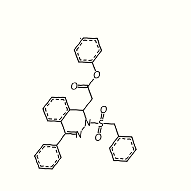 O=C(CC1c2ccccc2C(c2ccccc2)=NN1S(=O)(=O)Cc1ccccc1)Oc1cc[c]cc1